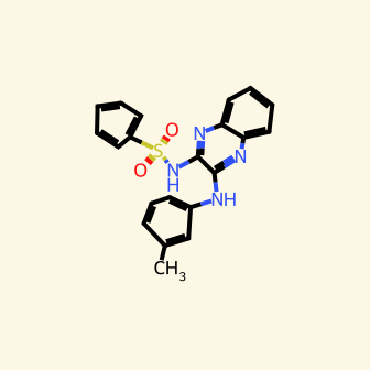 Cc1cccc(Nc2nc3ccccc3nc2NS(=O)(=O)c2ccccc2)c1